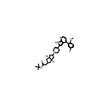 COc1ccc(F)cc1-c1ccnc2[nH]c(C3=CCN(C4C[C@H]5CC(CC(=O)OC(C)(C)C)C[C@H]5C4)CC3)cc12